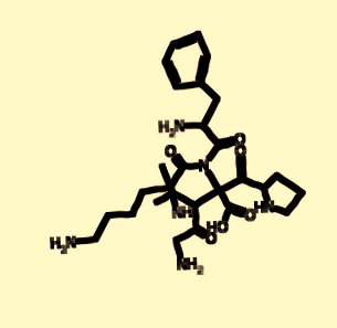 CC(C)C(C(=O)CN)C(C(=O)O)(C(=O)C1CCCN1)N(C(=O)C(N)CCCCN)C(=O)C(N)Cc1ccccc1